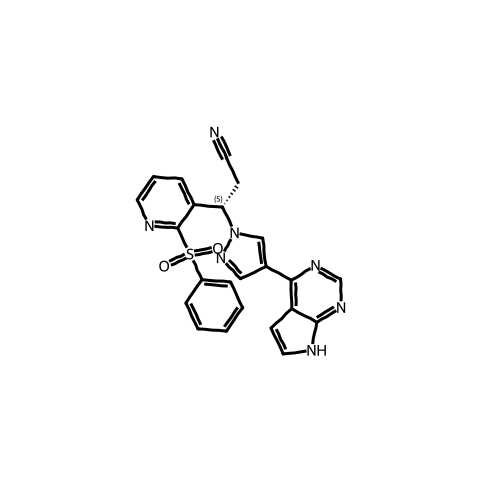 N#CC[C@@H](c1cccnc1S(=O)(=O)c1ccccc1)n1cc(-c2ncnc3[nH]ccc23)cn1